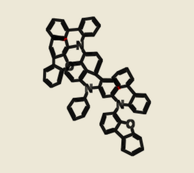 c1ccc(-c2ccccc2N(c2ccc3c(c2)N(c2ccccc2)c2cccc4c(N(c5ccccc5-c5ccccc5)c5cccc6c5oc5ccccc56)ccc-3c24)c2cccc3c2oc2ccccc23)cc1